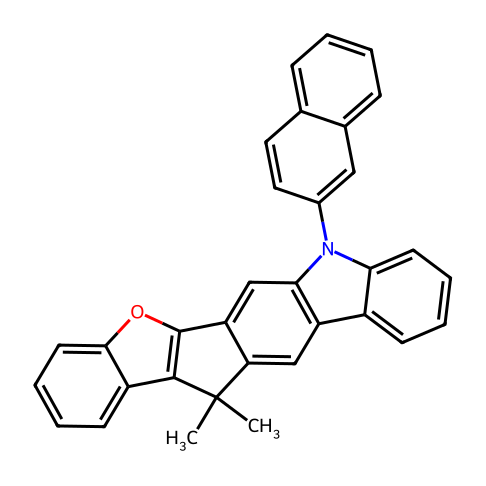 CC1(C)c2cc3c4ccccc4n(-c4ccc5ccccc5c4)c3cc2-c2oc3ccccc3c21